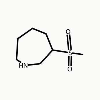 CS(=O)(=O)C1CCCCNC1